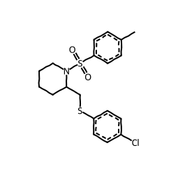 Cc1ccc(S(=O)(=O)N2CCCCC2CSc2ccc(Cl)cc2)cc1